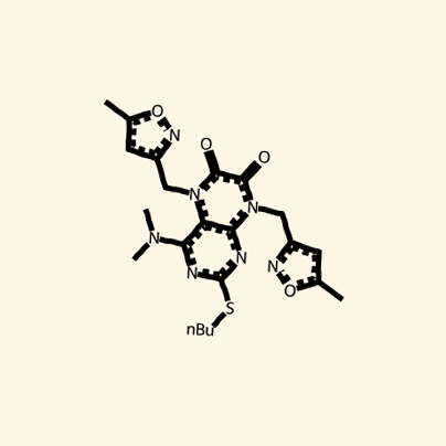 CCCCSc1nc(N(C)C)c2c(n1)n(Cc1cc(C)on1)c(=O)c(=O)n2Cc1cc(C)on1